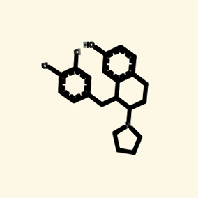 Oc1ccc2c(c1)C(Cc1ccc(Cl)c(Cl)c1)C(N1CCCC1)CC2